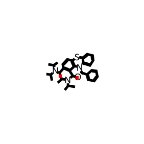 CC(C)N(C(C)C)C(C)c1ccc2c(c1C(C)N(C(C)C)C(C)C)N(C(=O)c1ccccc1)c1ccccc1S2